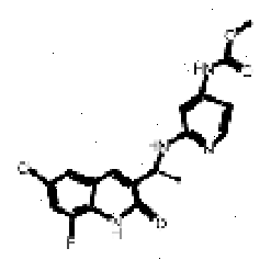 COC(=O)Nc1ccnc(N[C@@H](C)c2cc3cc(Cl)cc(F)c3[nH]c2=O)c1